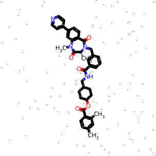 Cc1ccc(C(=O)OC2CCC(CNC(=O)c3cccc(CN4C(=O)c5ccc(-c6ccncc6)cc5N(C)C(=O)[C@H]4C)c3)CC2)c(C)c1